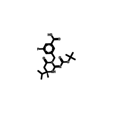 CC(C)[C@]1(C)CC(=O)N(Cc2cc(F)cc(C(=O)O)c2)/C(=N\C(=O)OC(C)(C)C)N1